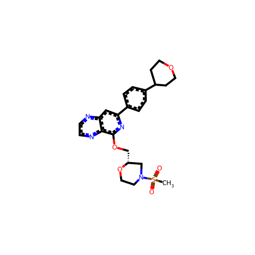 CS(=O)(=O)N1CCO[C@H](COc2nc(-c3ccc(C4CCOCC4)cc3)cc3nccnc23)C1